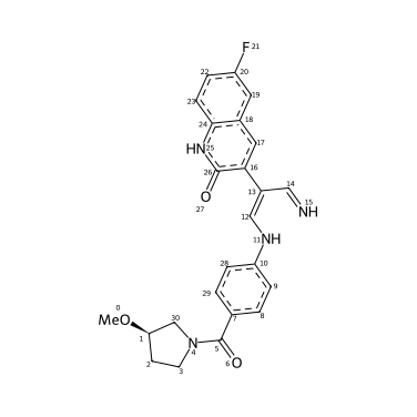 CO[C@@H]1CCN(C(=O)c2ccc(N/C=C(\C=N)c3cc4cc(F)ccc4[nH]c3=O)cc2)C1